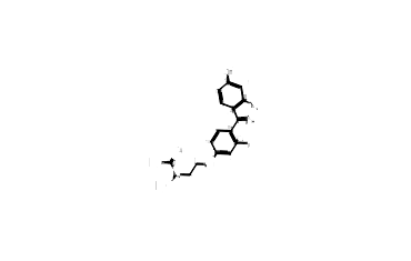 CN(CCOc1ccc(-c2n[nH]c3cc(Br)ccc23)c(F)c1)C(=O)O